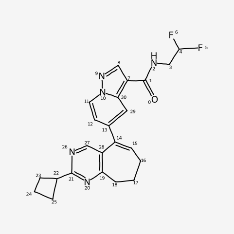 O=C(NCC(F)F)c1cnn2ccc(C3=CCCCc4nc(C5CCC5)ncc43)cc12